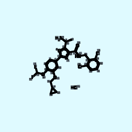 C[C@H](N)c1oc(-c2ccc(OC(F)F)c(OCC3CC3)c2)nc1C(=O)NCc1c(Cl)cccc1Cl.Cl